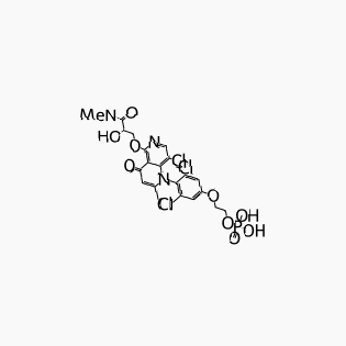 CNC(=O)[C@H](O)COc1ncc(Cl)c2c1c(=O)cc(C)n2-c1c(Cl)cc(OCCOP(=O)(O)O)cc1Cl